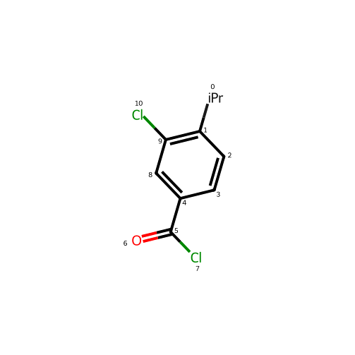 CC(C)c1ccc(C(=O)Cl)cc1Cl